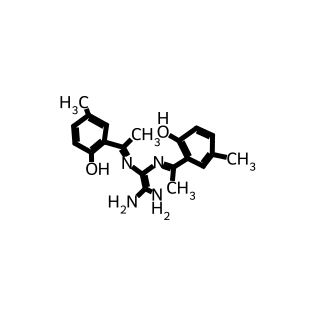 C/C(=N\C(/N=C(\C)c1cc(C)ccc1O)=C(N)N)c1cc(C)ccc1O